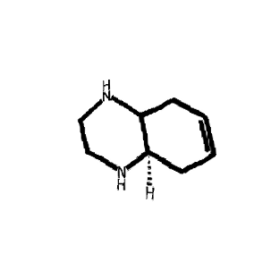 C1=CC[C@H]2NCCNC2C1